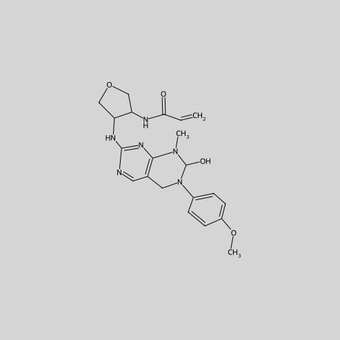 C=CC(=O)NC1COCC1Nc1ncc2c(n1)N(C)C(O)N(c1ccc(OC)cc1)C2